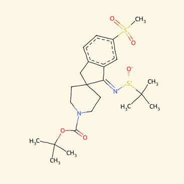 CC(C)(C)OC(=O)N1CCC2(CC1)Cc1ccc(S(C)(=O)=O)cc1C2=N[S@+]([O-])C(C)(C)C